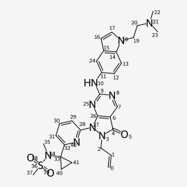 C=CCn1c(=O)c2cnc(Nc3ccc4c(ccn4CCN(C)C)c3)nc2n1-c1cccc(C2(N(C)S(C)(=O)=O)CC2)n1